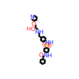 O=C(Nc1ccc(S(=O)(=O)Nc2ccc(CCNCC(O)COc3cccnc3)cc2)cc1)c1ccccc1